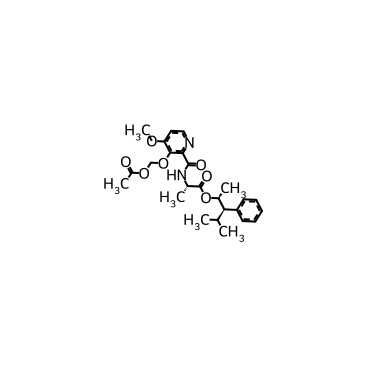 COc1ccnc(C(=O)N[C@@H](C)C(=O)O[C@@H](C)[C@@H](c2ccccc2)C(C)C)c1OCOC(C)=O